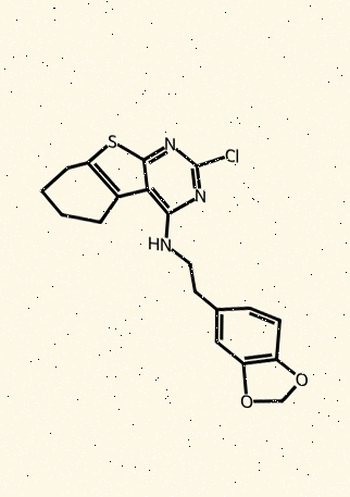 Clc1nc(NCCc2ccc3c(c2)OCO3)c2c3c(sc2n1)CCCC3